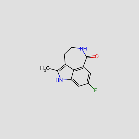 Cc1[nH]c2cc(F)cc3c2c1CCNC3=O